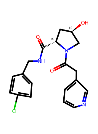 O=C(NCc1ccc(Cl)cc1)[C@@H]1C[C@@H](O)CN1C(=O)Cc1cccnc1